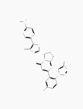 CN(C(=O)O)c1ccc(-c2[nH]c([C@@H]3CCc4nc(-c5cc(Cl)ccc5-n5cc(Cl)nn5)cc(=O)n43)nc2Cl)cn1